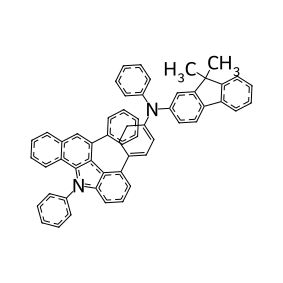 CC1(C)c2ccccc2-c2ccc(N(C3=CC=C(c4cccc5c4c4c(-c6ccccc6)cc6ccccc6c4n5-c4ccccc4)CC3)c3ccccc3)cc21